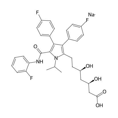 CC(C)n1c(CC[C@@H](O)C[C@@H](O)CC(=O)O)c(-c2ccc(F)cc2)c(-c2ccc(F)cc2)c1C(=O)Nc1ccccc1F.[Na]